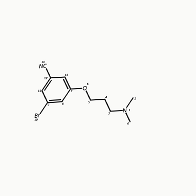 CN(C)CCCOc1cc(Br)cc(C#N)c1